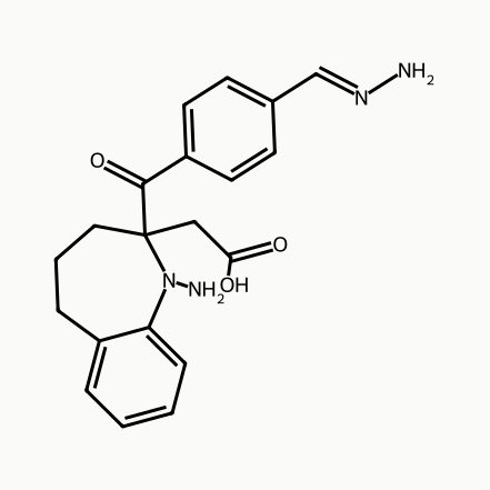 NN=Cc1ccc(C(=O)C2(CC(=O)O)CCCc3ccccc3N2N)cc1